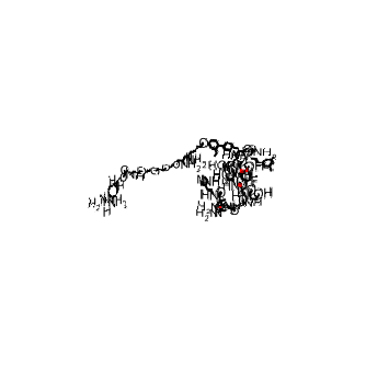 CCc1cc(OCCCCN(N)/C=C(\N)COCCOCCOCCOCCNC(=O)OC[C@@H]2[C@@H]3CC/C(NN)=C(/N)CC[C@@H]32)ccc1-c1ccc(C[C@H](NC(=O)[C@H](CC(=O)O)NC(=O)[C@H](CO)NC(=O)[C@@H](NC(=O)[C@](C)(Cc2ccccc2F)NC(=O)[C@@H](NC(=O)CNC(=O)[C@H](C/C(=N/N)NN)NC(=O)C(C)(C)C(=O)NCCc2cnc[nH]2)[C@@H](C)O)[C@@H](C)O)C(=O)N[C@@H](CCCc2cc(C)cc(C)c2)C(N)=O)cc1